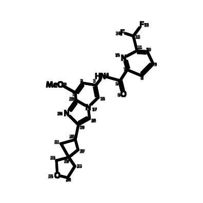 COc1cc(NC(=O)c2cccc(C(F)F)n2)cn2cc(C3CC4(CCOC4)C3)nc12